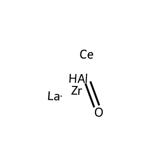 [Ce].[La].[O]=[AlH].[Zr]